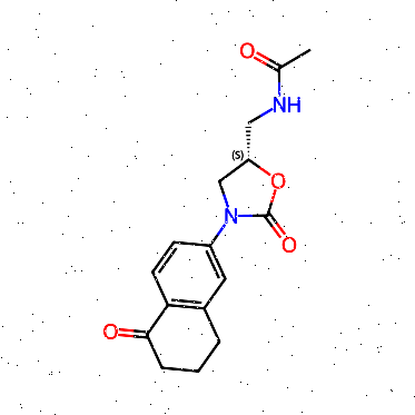 CC(=O)NC[C@H]1CN(c2ccc3c(c2)CCCC3=O)C(=O)O1